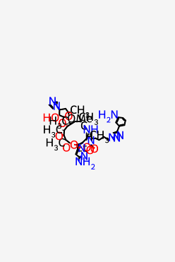 CC[C@H]1OC(=O)[C@H](C)C(=O)[C@H](C)[C@@H](O[C@@H]2O[C@H](C)CC(n3ccnc3)C2O)[C@](C)(OC)C[C@@H](C)CN[C@H](C)[C@H]2N(CCCCn3cc(-c4cccc(N)c4)nn3)C(=O)O[C@]12n1ccc(N)nc1=O